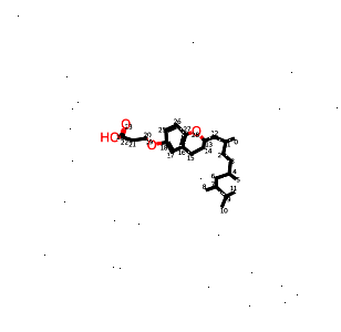 CC(CCC(C)CC(C)C(C)C)CC1CCc2cc(OCCC(=O)O)ccc2O1